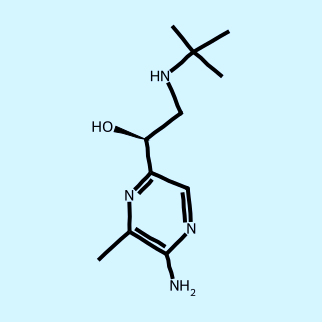 Cc1nc([C@@H](O)CNC(C)(C)C)cnc1N